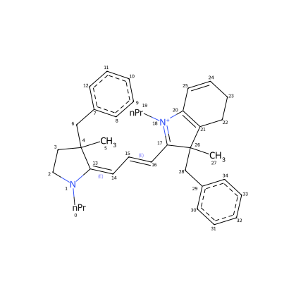 CCCN1CCC(C)(Cc2ccccc2)/C1=C\C=C\C1=[N+](CCC)C2=C(CCC=C2)C1(C)Cc1ccccc1